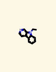 CCn1c2[c]nccc2c2ccccc21